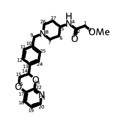 COCC(=O)NC1CCN(Cc2ccc(C3COc4cccnc4O3)cc2)CC1